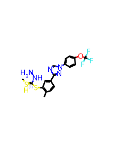 C/[SH]=C(\NN)Sc1cc(-c2ncn(-c3ccc(OC(F)(F)F)cc3)n2)ccc1C